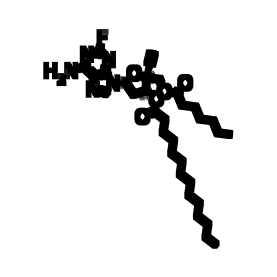 C#C[C@]1(COC(=O)CCCCCC)O[C@@H](n2cnc3c(N)nc(F)nc32)C[C@@H]1OC(=O)CCCCCCCCCCCCC